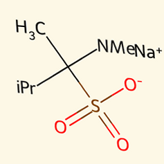 CNC(C)(C(C)C)S(=O)(=O)[O-].[Na+]